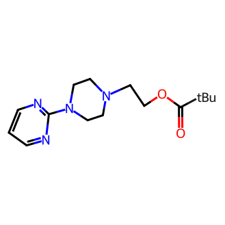 CC(C)(C)C(=O)OCCN1CCN(c2ncccn2)CC1